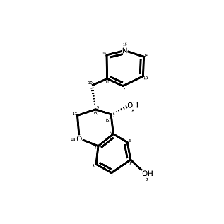 Oc1ccc2c(c1)[C@@H](O)[C@@H](Cc1cccnc1)CO2